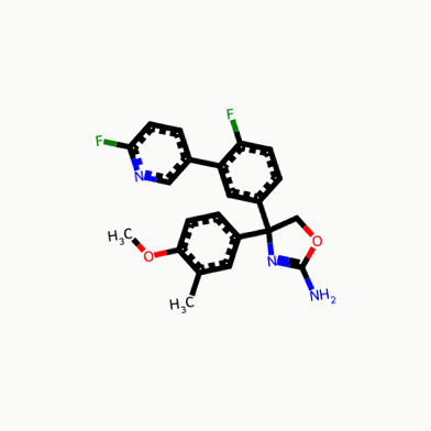 COc1ccc(C2(c3ccc(F)c(-c4ccc(F)nc4)c3)COC(N)=N2)cc1C